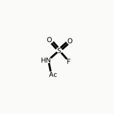 CC(=O)NS(=O)(=O)F